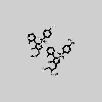 CC(C)(C)CN(Cc1cn(S(=O)(=O)c2ccc(O)cc2)c(-c2cccnc2F)c1F)C(=O)O.CNCc1cn(S(=O)(=O)c2ccc(O)cc2)c(-c2cccnc2F)c1F.Cl